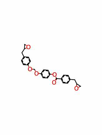 O=C(Oc1ccc(OCOc2ccc(CC3CO3)cc2)cc1)c1ccc(CC2CO2)cc1